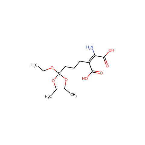 CCO[Si](CCC/C(C(=O)O)=C(\N)C(=O)O)(OCC)OCC